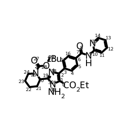 CCOC(=O)c1c(-c2ccc(C(=O)Nc3ccccn3)cc2)nc(C2CCCCN2C(=O)OC(C)(C)C)n1N